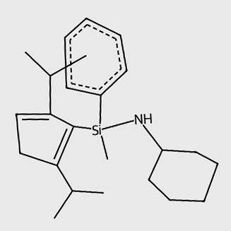 CC(C)C1=CCC(C(C)C)=C1[Si](C)(NC1CCCCC1)c1ccccc1